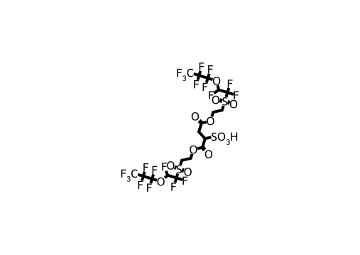 O=C(CC(C(=O)OCCS(=O)(=O)C(F)(F)C(F)OC(F)(F)C(F)(F)C(F)(F)F)S(=O)(=O)O)OCCS(=O)(=O)C(F)(F)C(F)OC(F)(F)C(F)(F)C(F)(F)F